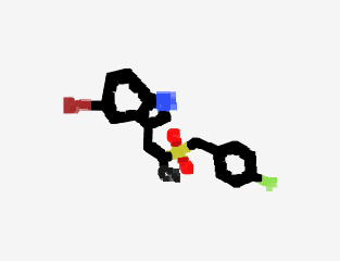 N#CC(=Cc1c[nH]c2ccc(Br)cc12)S(=O)(=O)Cc1ccc(F)cc1